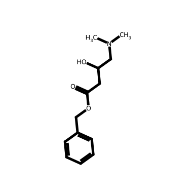 CN(C)CC(O)CC(=O)OCc1ccccc1